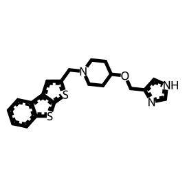 c1ccc2c(c1)sc1sc(CN3CCC(OCc4c[nH]cn4)CC3)cc12